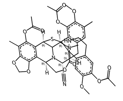 COc1cc2c(cc1OC(C)=O)CCN[C@]21CS[C@@H]2c3c(OC(C)=O)c(C)c4c(c3[C@H](COC1=O)N1C2[C@H]2c3c(cc(C)c(OC)c3OC(C)=O)C[C@@H]([C@@H]1C#N)N2C)OCO4